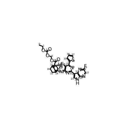 CCOC(=O)OCOC(=O)[C@H]1C2CCC(CC2)[C@@H]1Nc1nc(-c2c[nH]c3ncc(F)nc23)nc(-c2cccs2)c1F